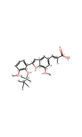 COc1cccc(-c2cc3cc(/C=C(\C)C(=O)O)cc(OC)c3o2)c1O[Si](C)(C)C(C)(C)C